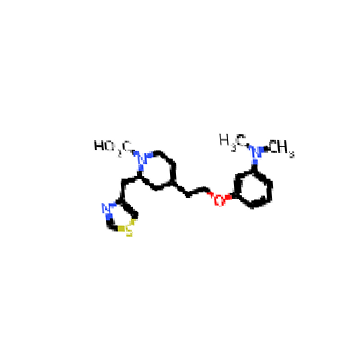 CN(C)c1cccc(OCCC2CCN(C(=O)O)C(Cc3cscn3)C2)c1